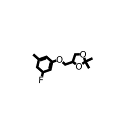 CC1=CC(OCC2COC(C)(C)O2)=CC(F)C1